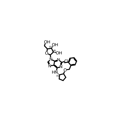 Cc1ccccc1COC1CCC[C@@H]1Nc1nc(Cl)nc2c1ncn2C1OC(CO)[C@@H](O)[C@H]1O